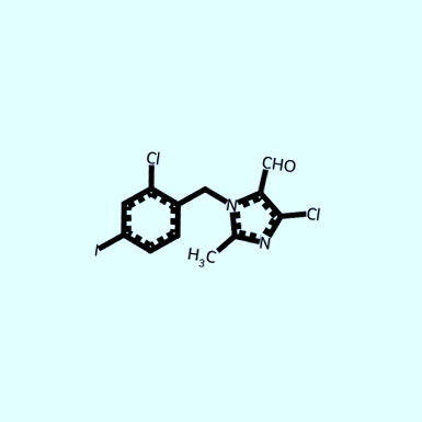 Cc1nc(Cl)c(C=O)n1Cc1ccc(I)cc1Cl